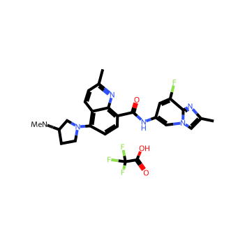 CNC1CCN(c2ccc(C(=O)Nc3cc(F)c4nc(C)cn4c3)c3nc(C)ccc23)C1.O=C(O)C(F)(F)F